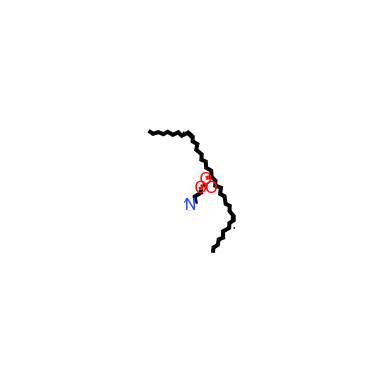 CCCCCC[CH]C/C=C\CCCCCCCCC(CCCCCCCC/C=C\C[CH]CCCCCC)OC(=O)OCCCN(C)C